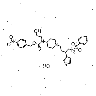 CN(CC(CCN1CCC(N(CCO)C(=O)OCc2ccc([N+](=O)[O-])cc2)CC1)c1ccsc1)S(=O)(=O)c1ccccc1.Cl